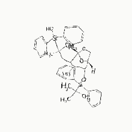 CC(C)(CC1[C@@H]2OC[C@@H](O2)C(O[Si](c2ccccc2)(c2ccccc2)C(C)(C)C)[C@@H]1O)[Si](O)(c1ccccc1)c1ccccc1